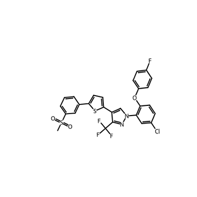 CS(=O)(=O)c1cccc(-c2ccc(-c3cn(-c4cc(Cl)ccc4Oc4ccc(F)cc4)nc3C(F)(F)F)s2)c1